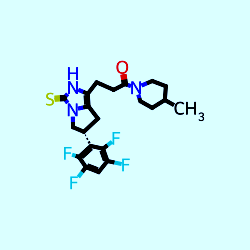 CC1CCN(C(=O)CCc2[nH]c(=S)n3c2C[C@H](c2c(F)c(F)cc(F)c2F)C3)CC1